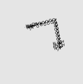 CC(=O)[O-].CC(=O)[O-].CC(=O)[O-].CC(=O)[O-].CC(=O)[O-].CC(=O)[O-].CC(=O)[O-].CC(=O)[O-].CC(=O)[O-].CC(=O)[O-].CC(=O)[O-].CC(=O)[O-].CCC(N)(N)O.CCC(N)(N)O.CCC(N)(N)O.[Fe+3].[Fe+3].[Fe+3].[Fe+3]